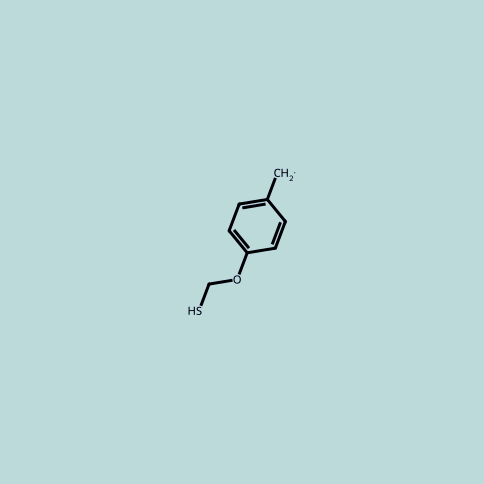 [CH2]c1ccc(OCS)cc1